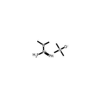 CN(C)[N+](=P)P.C[Si](C)(C)[O-]